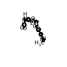 CCN(C(=O)[C@@H]1CCN(CC(=O)N2CC=C(c3ccc(-c4ncn(C)n4)cc3)CC2)C1)c1ccc2[nH]nc(C3CCS(=O)(=O)CC3)c2c1